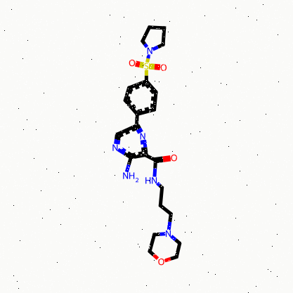 Nc1ncc(-c2ccc(S(=O)(=O)N3CCCC3)cc2)nc1C(=O)NCCCN1CCOCC1